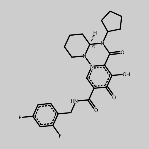 O=C(NCc1ccc(F)cc1F)c1cn2c(c(O)c1=O)C(=O)N(C1CCCC1)[C@@H]1CCCCN12